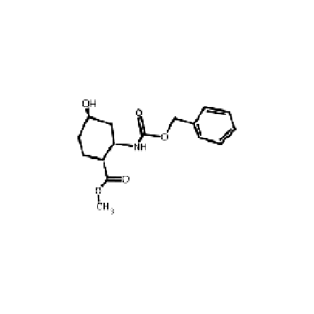 COC(=O)[C@H]1CC[C@@H](O)C[C@H]1NC(=O)OCc1ccccc1